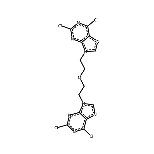 Clc1nc(Cl)c2ncn(CCOCCn3cnc4c(Cl)nc(Cl)nc43)c2n1